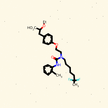 CCOC(Cc1ccc(OCCN(CCCCCC(C)(F)F)C(=O)Nc2ccccc2C)cc1)C(=O)O